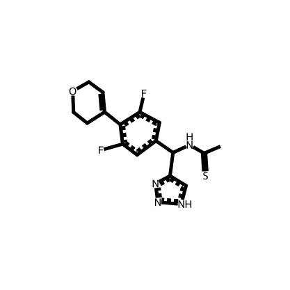 CC(=S)NC(c1cc(F)c(C2=CCOCC2)c(F)c1)c1c[nH]nn1